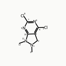 CN1Cc2c(Cl)nc(Cl)nc2N1C